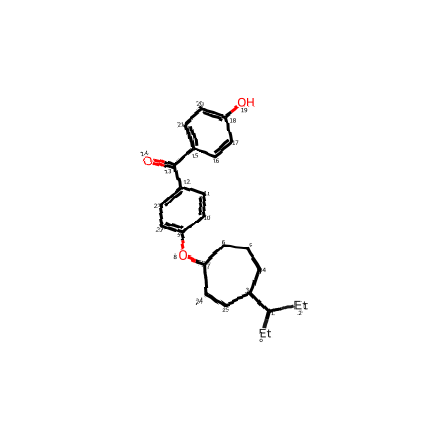 CCC(CC)C1CCCC(Oc2ccc(C(=O)c3ccc(O)cc3)cc2)CC1